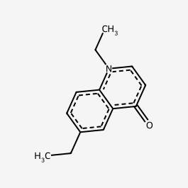 CCc1ccc2c(c1)c(=O)ccn2CC